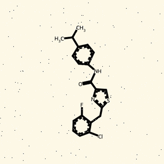 CC(C)c1ccc(NC(=O)c2csc(Cc3c(F)cccc3Cl)n2)cc1